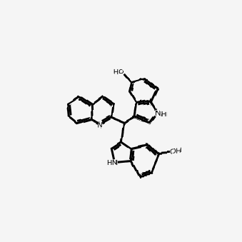 Oc1ccc2[nH]cc(C(c3ccc4ccccc4n3)c3c[nH]c4ccc(O)cc34)c2c1